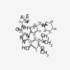 COc1cc(O)c(-c2nnc(C(=O)NCC(F)(F)F)n2-c2ccc(CN3CCCCC3)cc2)cc1C(C)C